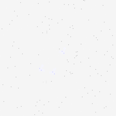 CCc1cc(Cl)nc(-c2cnc(C(F)(F)F)nc2)c1